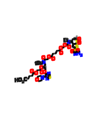 CCN(C(=O)OCOC(=O)CCCC(=O)OCC(=O)N(C[C@@H](COc1nsnc1N1CCOCC1)OC(=O)COC(=O)CCCC(=O)O)C(C)(C)C)[C@H]1C[C@H](C)S(=O)(=O)c2sc(S(N)(=O)=O)cc21